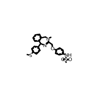 CSc1ccc(C2N=C(COc3ccc(NS(C)(=O)=O)cc3)N(C)Cc3ccccc32)cc1